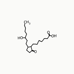 CCCCCC(O)CCC1CCC(=O)C1CCCCCCC(=O)O